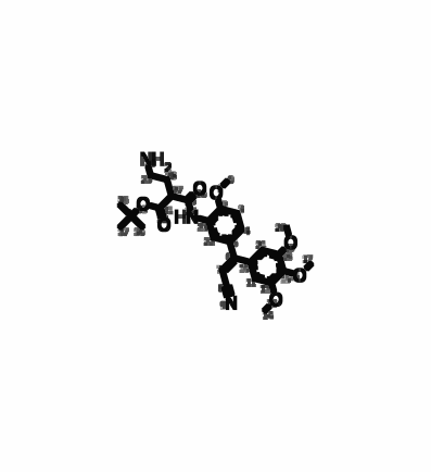 COc1ccc(C(=CC#N)c2cc(OC)c(OC)c(OC)c2)cc1NC(=O)C(CCN)C(=O)OC(C)(C)C